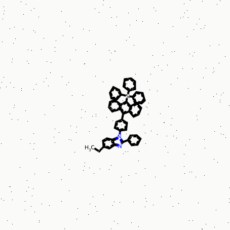 CCc1ccc2c(c1)nc(-c1ccccc1)n2-c1ccc(-c2c3ccccc3c([Si](c3ccccc3)(c3ccccc3)c3ccccc3)c3ccccc23)cc1